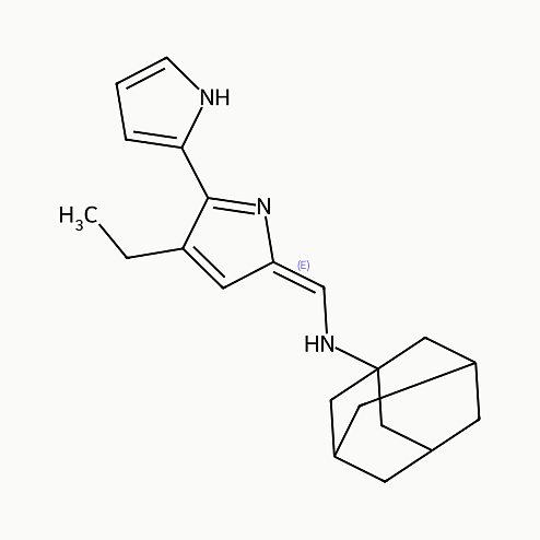 CCC1=C/C(=C\NC23CC4CC(CC(C4)C2)C3)N=C1c1ccc[nH]1